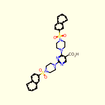 O=C(O)c1cnc(N2CCN(S(=O)(=O)c3ccc4ccccc4c3)CC2)nc1N1CCN(S(=O)(=O)c2ccc3ccccc3c2)CC1